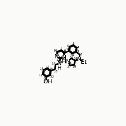 CCN(Cc1cccc(-c2ccnc(NCCc3cccc(O)c3)n2)c1)C1CCNC1